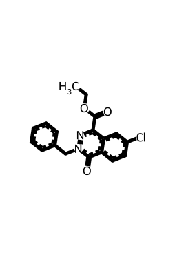 CCOC(=O)c1nn(Cc2ccccc2)c(=O)c2ccc(Cl)cc12